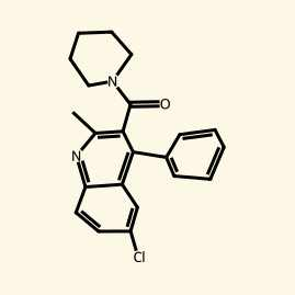 Cc1nc2ccc(Cl)cc2c(-c2ccccc2)c1C(=O)N1CCCCC1